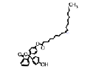 CCCCCCCC/C=C\CCCCCCCC(=O)Oc1ccc(C2(c3ccc(O)cc3)OC(=O)c3ccccc32)cc1